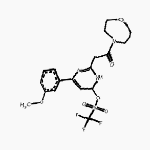 COc1cccc(C2=CC(OS(=O)(=O)C(F)(F)F)NC(CC(=O)N3CCOCC3)=N2)c1